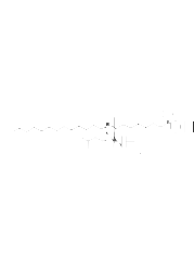 CC(C)CCNN.CCCCCCCCCCCCCCCCCCCCCC(=O)O